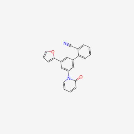 N#Cc1ccccc1-c1cc(-c2ccco2)cc(-n2ccccc2=O)c1